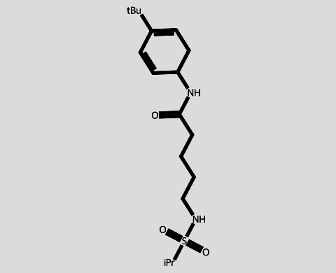 CC(C)S(=O)(=O)NCCCCC(=O)NC1C=CC(C(C)(C)C)=CC1